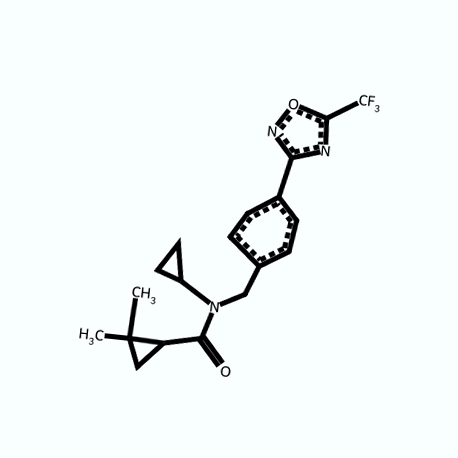 CC1(C)CC1C(=O)N(Cc1ccc(-c2noc(C(F)(F)F)n2)cc1)C1CC1